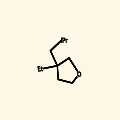 CCC1(CC(C)C)CCOC1